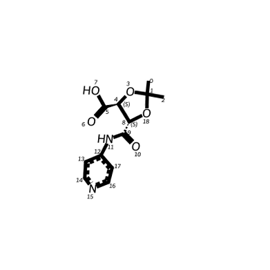 CC1(C)O[C@H](C(=O)O)[C@@H](C(=O)Nc2ccncc2)O1